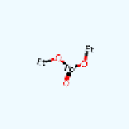 CC[O][Pb](=[O])[O]CC